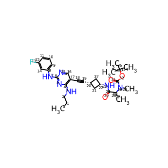 CCCNc1nc(Nc2cccc(F)c2)ncc1C#C[C@H]1C[C@@H](NC(=O)[C@H](C)N(C)C(=O)OC(C)(C)C)C1